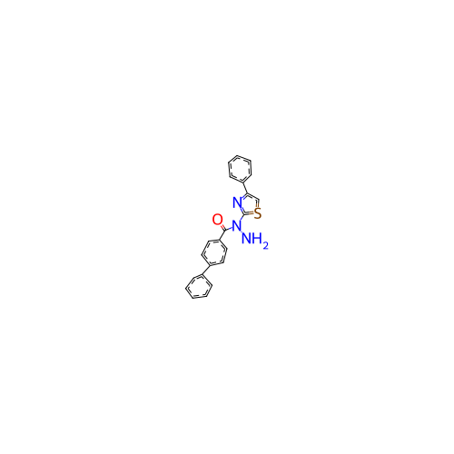 NN(C(=O)c1ccc(-c2ccccc2)cc1)c1nc(-c2ccccc2)cs1